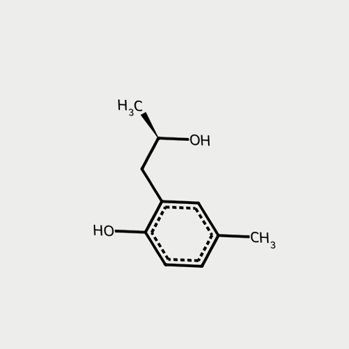 Cc1ccc(O)c(C[C@@H](C)O)c1